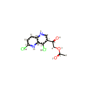 CC(=O)OCC(=O)c1cnc2ccc(Cl)nc2c1Cl